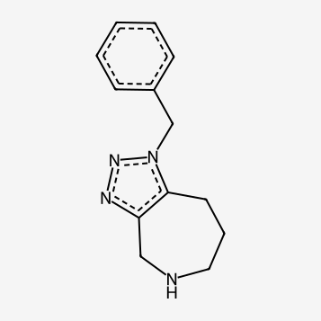 c1ccc(Cn2nnc3c2CCCNC3)cc1